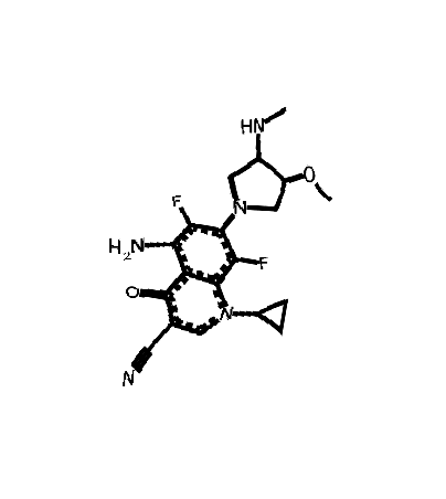 CNC1CN(c2c(F)c(N)c3c(=O)c(C#N)cn(C4CC4)c3c2F)CC1OC